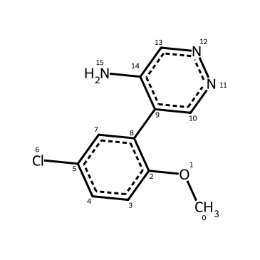 COc1ccc(Cl)cc1-c1cnncc1N